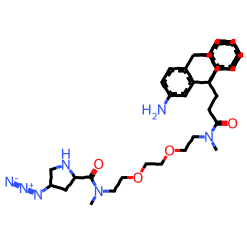 CN(CCOCCOCCN(C)C(=O)C1CC(N=[N+]=[N-])CN1)C(=O)CCC12c3ccccc3C(c3ccc(N)cc31)C1C=CC=CC12